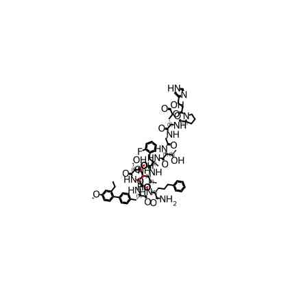 CCc1cc(OC)ccc1-c1ccc(C[C@H](NC(=O)[C@H](CC(=O)O)NC(=O)[C@H](CO)NC(=O)[C@@H](NC(=O)[C@](C)(Cc2ccccc2F)NC(=O)[C@@H](NC(=O)CNC(=O)[C@H](CCC(=O)O)NC(=O)[C@]2(C)CCCN2C(=O)CCc2c[nH]cn2)[C@@H](C)O)[C@@H](C)O)C(=O)N[C@@H](CCCc2ccccc2)C(N)=O)cc1